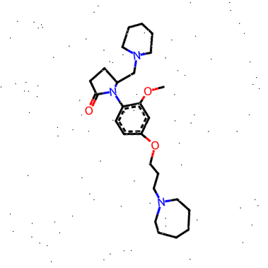 COc1cc(OCCCN2CCCCCC2)ccc1N1C(=O)CCC1CN1CCCCC1